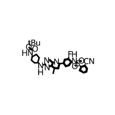 Cc1cc(-c2ccc(NS(=O)(=O)c3ccccc3C#N)c(F)c2)nc2cnc(N[C@H]3CC[C@H](NC(=O)OC(C)(C)C)CC3)nc12